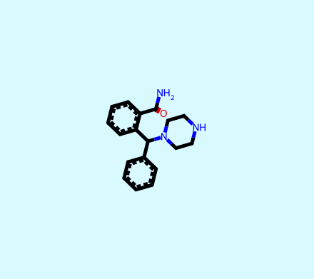 NC(=O)c1ccccc1C(c1ccccc1)N1CCNCC1